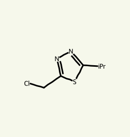 CC(C)c1nnc(CCl)s1